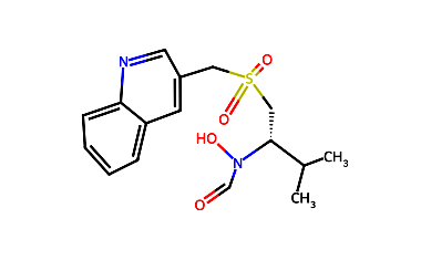 CC(C)[C@@H](CS(=O)(=O)Cc1cnc2ccccc2c1)N(O)C=O